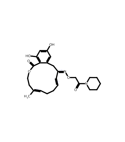 C/C1=C\CC/C=C/C(=N\OCC(=O)N2CCCCC2)Cc2cc(O)cc(O)c2C(=O)OCC1